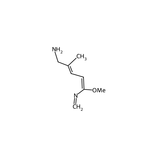 C=N/C(=C\C=C(/C)CN)OC